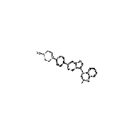 CC(=O)N1CCN(c2ccc(-c3ccn4c(-c5cc(C)nc6ccccc56)cnc4c3)cc2)CC1